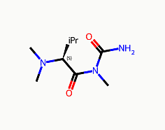 CC(C)[C@@H](C(=O)N(C)C(N)=O)N(C)C